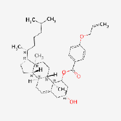 C=CCOc1ccc(C(=O)OC2C[C@H](O)CC3=CC[C@H]4[C@@H]5CC[C@H]([C@H](C)CCCC(C)C)[C@@]5(C)CC[C@@H]4[C@]32C)cc1